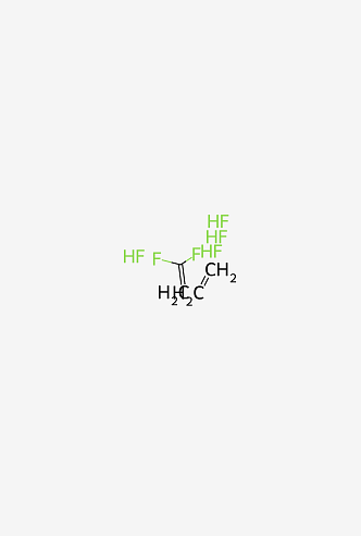 C=C.C=C(F)F.F.F.F.F